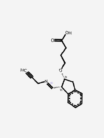 C#CC/N=C/[C@H]1c2ccccc2C[C@H]1OCCCC(=O)O